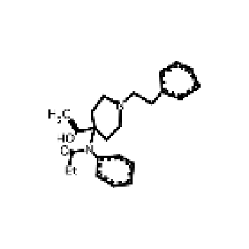 C=C(O)C1(N(C(=O)CC)c2ccccc2)CCN(CCc2ccccc2)CC1